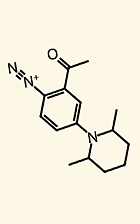 CC(=O)c1cc(N2C(C)CCCC2C)ccc1[N+]#N